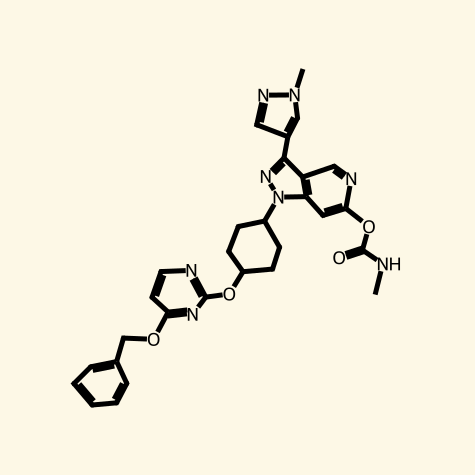 CNC(=O)Oc1cc2c(cn1)c(-c1cnn(C)c1)nn2C1CCC(Oc2nccc(OCc3ccccc3)n2)CC1